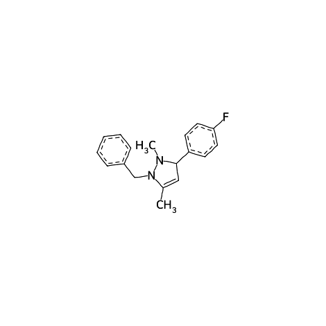 CC1=CC(c2ccc(F)cc2)N(C)N1Cc1ccccc1